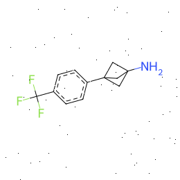 NC12CC(c3ccc(C(F)(F)F)cc3)(C1)C2